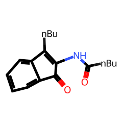 CCCCC(=O)NC1=C(CCCC)c2ccccc2C1=O